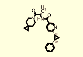 C[C@@H](NC(=O)c1ccc([C@@H]2C[C@@H]2c2ccccc2)nc1)C(=O)N1CCC2(CC1)CC2